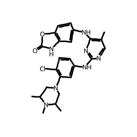 Cc1cnc(Nc2ccc(Cl)c(N3CC(C)N(C)C(C)C3)c2)nc1Nc1ccc2oc(=O)[nH]c2c1